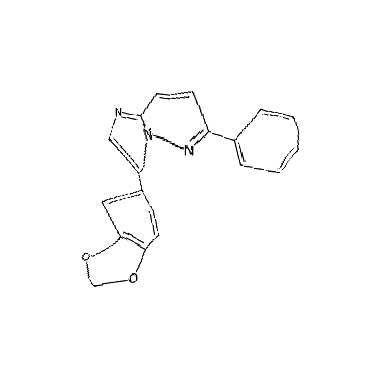 c1ccc(-c2ccc3ncc(-c4ccc5c(c4)OCO5)n3n2)cc1